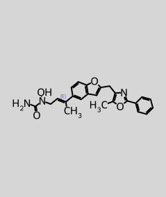 C/C(=C\CN(O)C(N)=O)c1ccc2oc(Cc3nc(-c4ccccc4)oc3C)cc2c1